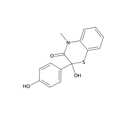 CN1C(=O)C(O)(c2ccc(O)cc2)Sc2ccccc21